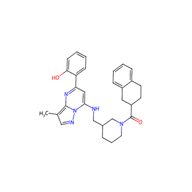 Cc1cnn2c(NCC3CCCN(C(=O)C4CCc5ccccc5C4)C3)cc(-c3ccccc3O)nc12